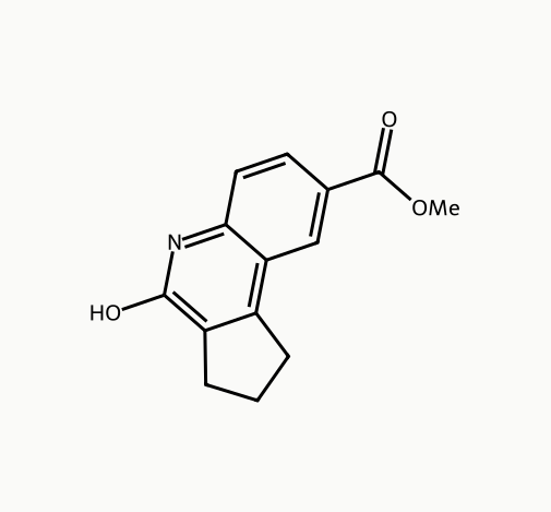 COC(=O)c1ccc2nc(O)c3c(c2c1)CCC3